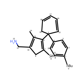 CCCCc1ccc(C2(C3=C([SiH3])CC(CN)=C3C)C=CC=CC2)cc1